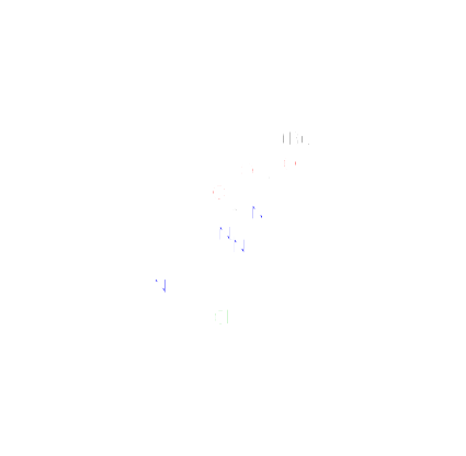 CC(C)(C)OC(=O)[C@@H]1CCCc2nn(Cc3cncc(Cl)c3)c(=O)n21